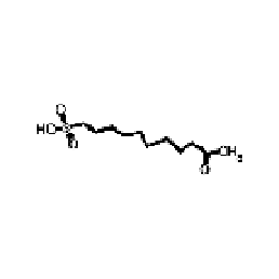 CC(=O)CCCCCCCCCS(=O)(=O)O